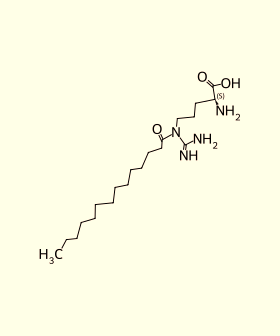 CCCCCCCCCCCCCC(=O)N(CCC[C@H](N)C(=O)O)C(=N)N